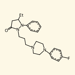 CCC1CC(=O)N(CCCN2CCN(c3ccc(F)cc3)CC2)N1c1ccccc1